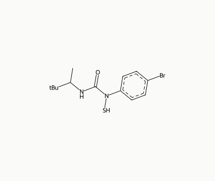 CC(NC(=O)N(S)c1ccc(Br)cc1)C(C)(C)C